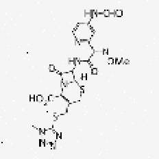 CO/N=C(\C(=O)NC1C(=O)N2C(C(=O)O)=C(CSc3nnnn3C)CS[C@H]12)c1cc(NC=O)ccn1